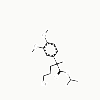 COc1ccc(C(C)(CCCBr)C(=O)OC(C)C)cc1OC